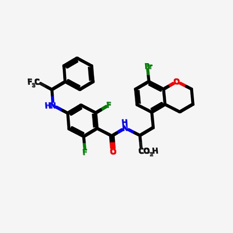 O=C(NC(Cc1ccc(Br)c2c1CCCO2)C(=O)O)c1c(F)cc(NC(c2ccccc2)C(F)(F)F)cc1F